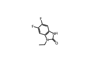 CCn1c(=O)[nH]c2cc(F)c(F)cc21